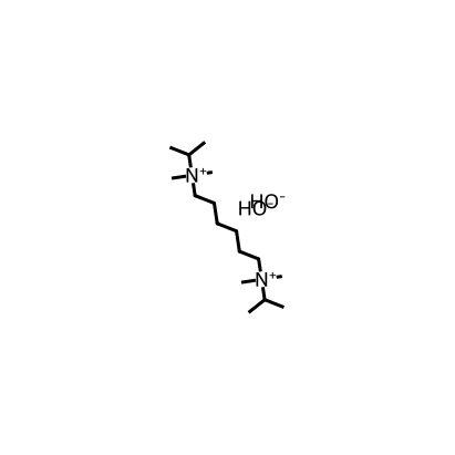 CC(C)[N+](C)(C)CCCCCC[N+](C)(C)C(C)C.[OH-].[OH-]